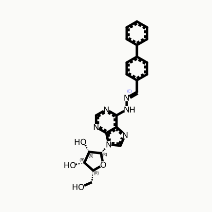 OC[C@H]1O[C@@H](n2cnc3c(N/N=C/c4ccc(-c5ccccc5)cc4)ncnc32)[C@@H](O)[C@H]1O